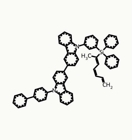 C=C/C=C\C=C(/C)[Si](c1ccccc1)(c1ccccc1)c1cccc(-n2c3ccccc3c3cc(-c4ccc5c(c4)c4ccccc4n5-c4ccc(-c5ccccc5)cc4)ccc32)c1